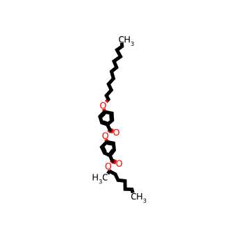 CCCCCCCCCCCCOc1ccc(C(=O)Oc2ccc(C(=O)OC(C)CCCCCC)cc2)cc1